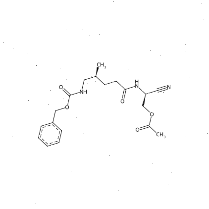 CC(=O)OC[C@H](C#N)NC(=O)CC[C@H](C)CNC(=O)OCc1ccccc1